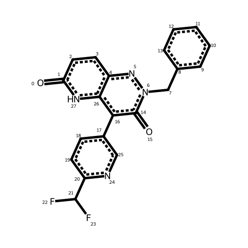 O=c1ccc2nn(Cc3ccccc3)c(=O)c(-c3ccc(C(F)F)nc3)c2[nH]1